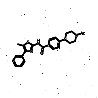 CC(=O)N1CCN(c2ccc(C(=O)Nc3nc(-c4ccccc4)c(C)s3)cn2)CC1